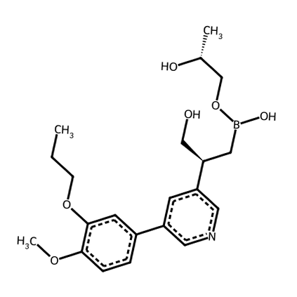 CCCOc1cc(-c2cncc([C@@H](CO)CB(O)OC[C@@H](C)O)c2)ccc1OC